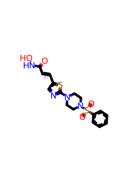 O=C(/C=C/c1cnc(N2CCN(S(=O)(=O)c3ccccc3)CC2)s1)NO